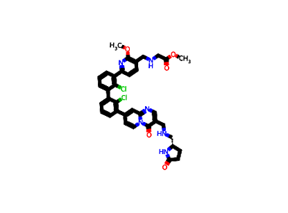 COC(=O)CNCc1ccc(-c2cccc(-c3cccc(-c4ccn5c(=O)c(CNC[C@@H]6CCC(=O)N6)cnc5c4)c3Cl)c2Cl)nc1OC